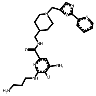 NCCCNc1nc(C(=O)NCC2CCN(Cc3cnc(-c4ccccn4)s3)CC2)cc(N)c1Cl